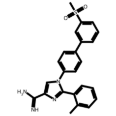 Cc1ccccc1-c1nc(C(=N)N)cn1-c1ccc(-c2cccc(S(C)(=O)=O)c2)cc1